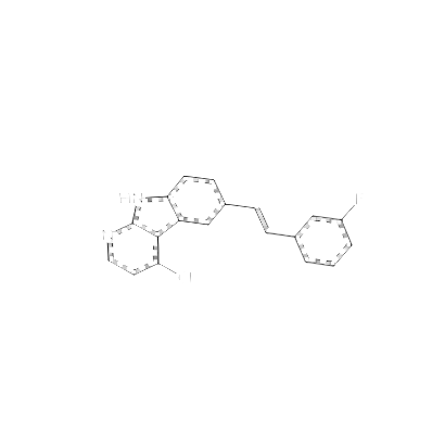 Fc1cccc(C=Cc2ccc3[nH]c4nccc(Cl)c4c3c2)c1